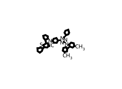 Cc1ccc2c(c1)c1cc(C)ccc1n2-c1nc(-c2ccccc2)nc(-c2ccc(-n3c4ccccc4c4c5sc6ccccc6c5ccc43)c(C#N)c2)n1